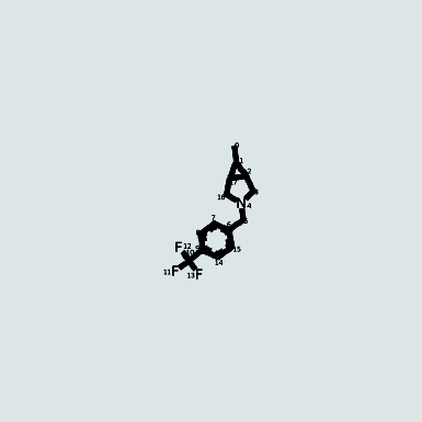 CC1C2CN(Cc3ccc(C(F)(F)F)cc3)CC12